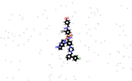 CC1(C)CCC(CN2CCN(c3ccc(C(=O)NS(=O)(=O)c4ccc(NCC5CCC(O)CC5)c(N=O)c4)c(-n4ncc5nc6[nH]ccc6cc54)c3)CC2)=C(c2ccc(Cl)cc2)C1